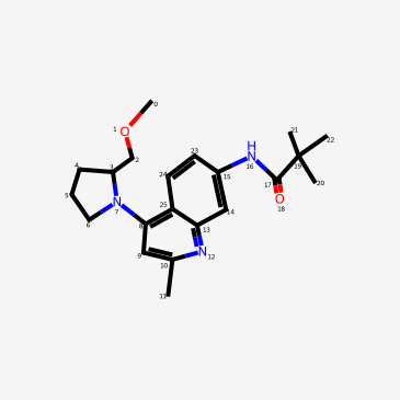 COCC1CCCN1c1cc(C)nc2cc(NC(=O)C(C)(C)C)ccc12